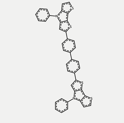 c1ccc(-n2c3ccsc3c3sc(-c4ccc(-c5ccc(-c6cc7c(s6)c6sccc6n7-c6ccccc6)cc5)cc4)cc32)cc1